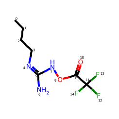 CCCCN=C(N)NOC(=O)C(F)(F)F